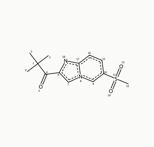 CC(C)(C)C(=O)c1cn2cc(S(C)(=O)=O)ccc2n1